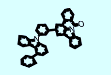 O=c1c2ccccc2c2cc(-c3cccc(-n4c5ccccc5c5c(-c6ccccc6)cccc54)c3)cc3c4ccccc4n1c23